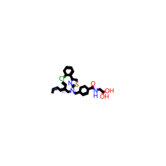 C=C/C(=C\C=C/C)CN(CC1C=CC(C(=O)NCC(O)O)CC1)C1=NC(C2=CC=CCC2Cl)CS1